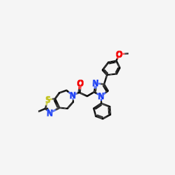 COc1ccc(-c2cn(-c3ccccc3)c(CC(=O)N3CCc4nc(C)sc4CC3)n2)cc1